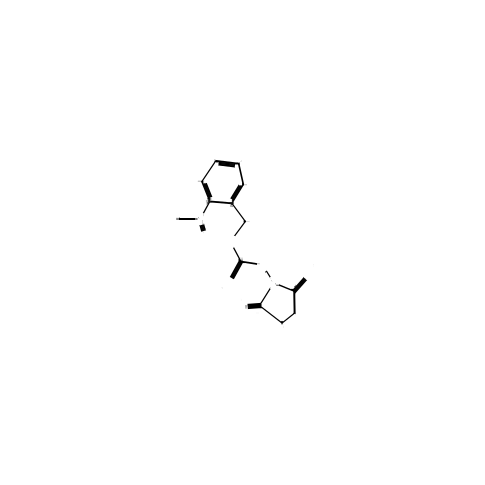 O=C(OCc1ccccc1[N+](=O)[O-])ON1C(=O)CCC1=O